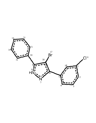 Clc1cccc(-c2n[nH]c(-c3ccccc3)c2Br)c1